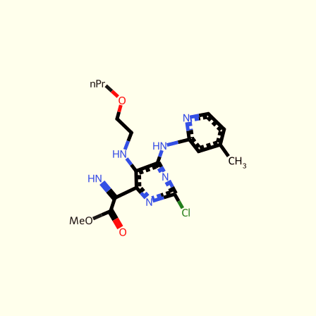 CCCOCCNc1c(Nc2cc(C)ccn2)nc(Cl)nc1C(=N)C(=O)OC